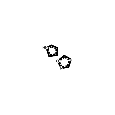 c1cc[nH]c1.c1ncon1